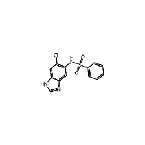 O=S(=O)(Nc1cc2nc[nH]c2cc1Cl)c1ccccc1